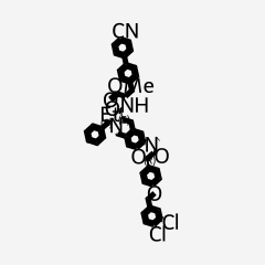 CC[C@@H](c1ccccc1)N1Cc2cc3c(cc2C[C@H]1C(=O)NC(Cc1ccc(-c2ccc(C#N)cc2)cc1)C(=O)OC)N(C)C(=O)[C@@H](c1ccc(OCc2ccc(Cl)c(Cl)c2)cc1)O3